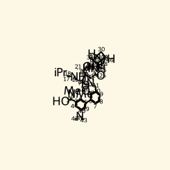 CNC(O)c1cc(-c2cccc(CN3O[C@@H](CNCC(C)C)[C@@H]([C@H](C)O)[C@H]3C(=O)N[C@H]3C[C@H]4C[C@@H]([C@@H]3C)C4(C)C)c2OC)cc(N(C)C)c1